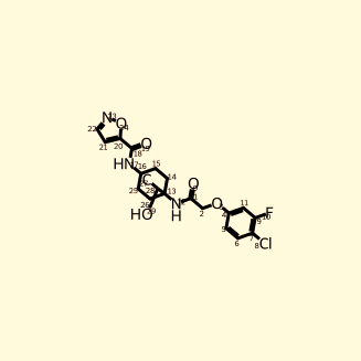 O=C(COc1ccc(Cl)c(F)c1)NC12CCC(NC(=O)c3ccno3)(CC1)CC2O